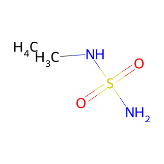 C.CNS(N)(=O)=O